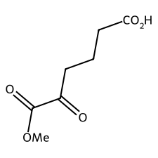 COC(=O)C(=O)CCCC(=O)O